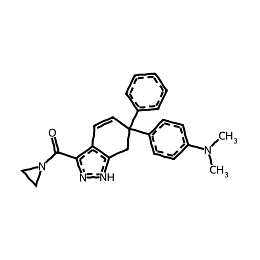 CN(C)c1ccc(C2(c3ccccc3)C=Cc3c(C(=O)N4CC4)n[nH]c3C2)cc1